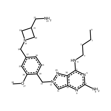 CCCCNc1nc(N)nc2cn(Cc3ccc(CN4CC(CN)C4)cc3OC)nc12